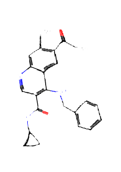 CNC(=O)c1cc2c(NCc3ccccc3)c(C(=O)NC3CC3)cnc2cc1OC